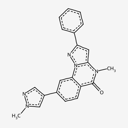 Cn1cc(-c2ccc3c(=O)n(C)c4cc(-c5ccccc5)nn4c3c2)cn1